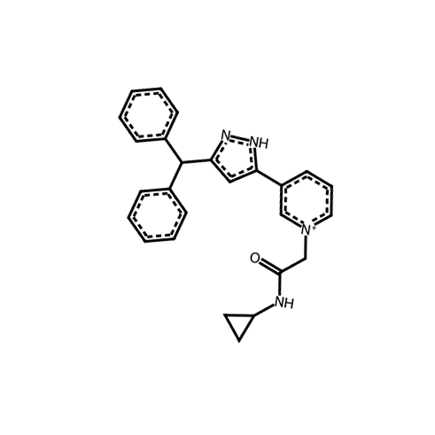 O=C(C[n+]1cccc(-c2cc(C(c3ccccc3)c3ccccc3)n[nH]2)c1)NC1CC1